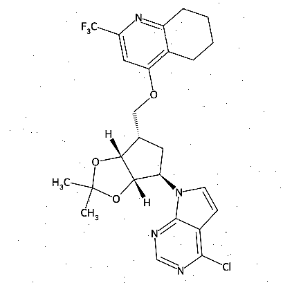 CC1(C)O[C@@H]2[C@H](COc3cc(C(F)(F)F)nc4c3CCCC4)C[C@@H](n3ccc4c(Cl)ncnc43)[C@@H]2O1